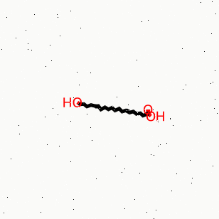 O=C(O)CCCC/C=C/CCCCCCC/C=C/CCCCO